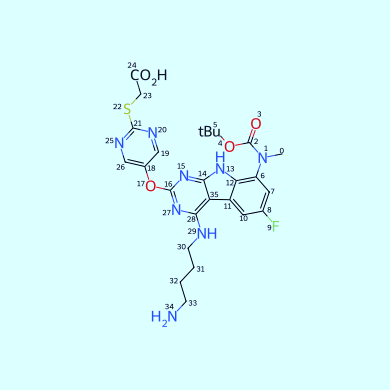 CN(C(=O)OC(C)(C)C)c1cc(F)cc2c1[nH]c1nc(Oc3cnc(SCC(=O)O)nc3)nc(NCCCCN)c12